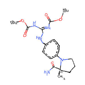 CC(C)(C)OC(=O)N=C(NC(=O)OC(C)(C)C)Nc1ccc(N2CCC[C@]2(C)C(N)=O)cc1